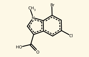 Cn1cc(C(=O)O)c2cc(Cl)cc(Br)c21